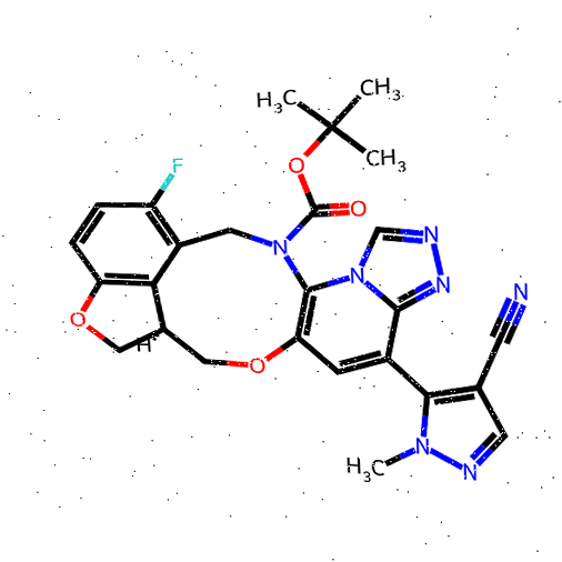 Cn1ncc(C#N)c1-c1cc2c(n3cnnc13)N(C(=O)OC(C)(C)C)Cc1c(F)ccc3c1[C@H](CO3)CO2